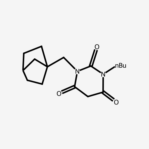 CCCCN1C(=O)CC(=O)N(CC23CCC(CC2)C3)C1=O